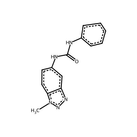 Cn1nnc2cc(NC(=O)Nc3ccccc3)ccc21